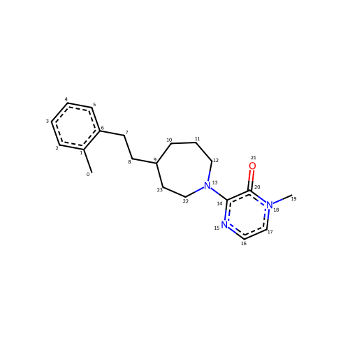 Cc1ccccc1CCC1CCCN(c2nccn(C)c2=O)CC1